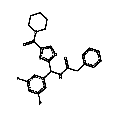 O=C(Cc1ccccc1)NC(c1cc(F)cc(F)c1)c1nc(C(=O)N2CCCCC2)co1